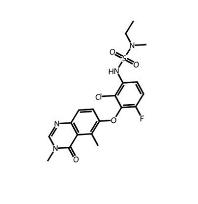 CCN(C)S(=O)(=O)Nc1ccc(F)c(Oc2ccc3ncn(C)c(=O)c3c2C)c1Cl